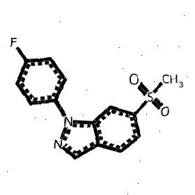 CS(=O)(=O)c1ccc2cnn(-c3ccc(F)cc3)c2c1